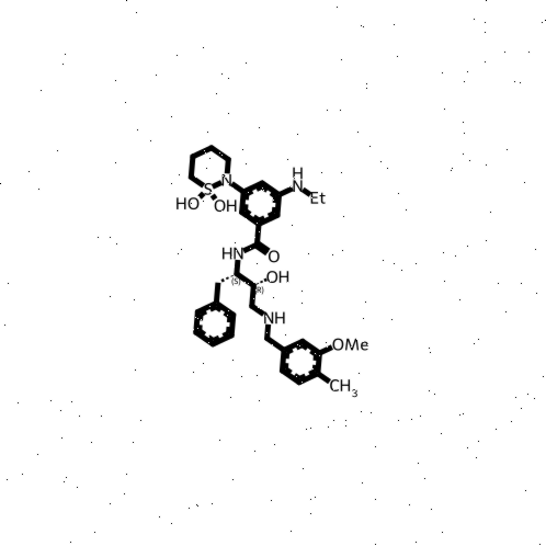 CCNc1cc(C(=O)N[C@@H](Cc2ccccc2)[C@H](O)CNCc2ccc(C)c(OC)c2)cc(N2CCCCS2(O)O)c1